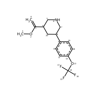 C=C(OC)C1CNCC(c2ccc(OC(F)(F)F)cc2)C1